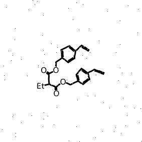 C=Cc1ccc(COC(=O)C(CC)C(=O)OCc2ccc(C=C)cc2)cc1